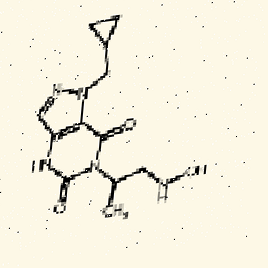 CC(CNO)n1c(=O)[nH]c2cnn(CC3CC3)c2c1=O